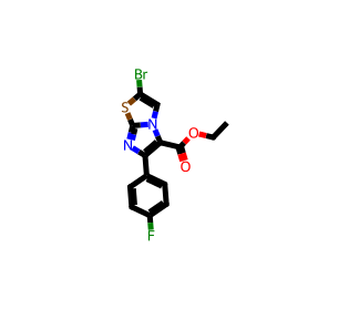 CCOC(=O)c1c(-c2ccc(F)cc2)nc2sc(Br)cn12